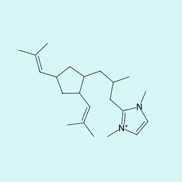 CC(C)=CC1CC(C=C(C)C)C(CC(C)Cc2n(C)cc[n+]2C)C1